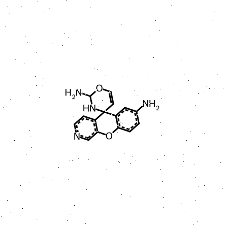 Nc1ccc2c(c1)C1(C=COC(N)N1)c1ccncc1O2